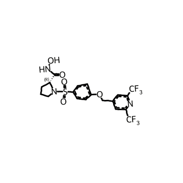 O=C(NO)[C@H]1CCCN1S(=O)(=O)c1ccc(OCc2cc(C(F)(F)F)nc(C(F)(F)F)c2)cc1